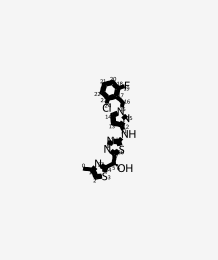 Cc1csc([C@H](O)c2nnc(Nc3ccn(Cc4c(F)cccc4Cl)n3)s2)n1